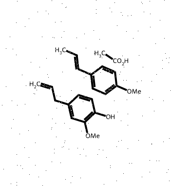 C=CCc1ccc(O)c(OC)c1.CC(=O)O.CC=Cc1ccc(OC)cc1